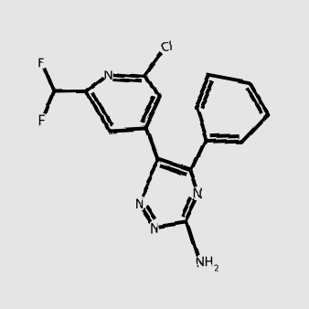 Nc1nnc(-c2cc(Cl)nc(C(F)F)c2)c(-c2ccccc2)n1